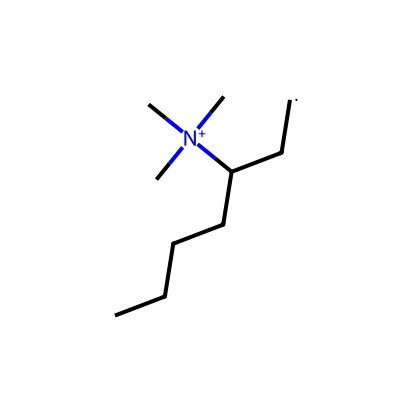 [CH2]CC(CCCC)[N+](C)(C)C